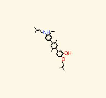 CCc1cc(-c2cc(C)c(-c3ccc(OCC=C(C)C)c(O)c3)cc2C)ccc1NCC=C(C)C